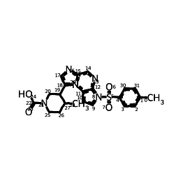 Cc1ccc(S(=O)(=O)n2ccc3c2ncc2ncc(C4CN(C(=O)O)CCC4C)n23)cc1